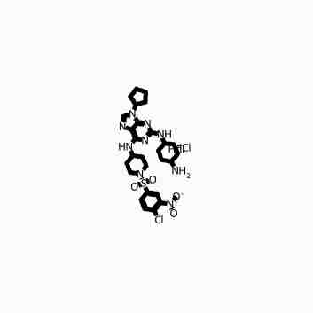 Cl.Cl.NC1CCC(Nc2nc(NC3CCN(S(=O)(=O)c4ccc(Cl)c([N+](=O)[O-])c4)CC3)c3ncn(C4CCCC4)c3n2)CC1